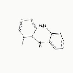 Cc1ccncc1Nc1ccccc1N